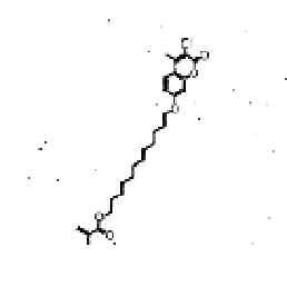 C=C(C)C(=O)OCCCCCCCCCCCCOc1ccc2c(C)c(Cl)c(=O)oc2c1